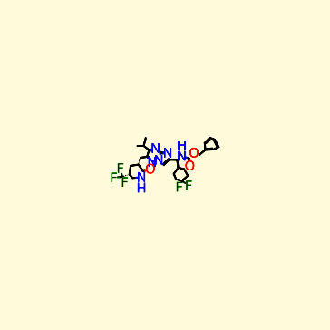 CC(C)c1nc2nc([C@@H](NC(=O)OCc3ccccc3)C3CCC(F)(F)CC3)cn2nc1C[C@H]1C[C@@H](C(F)(F)F)CNC1=O